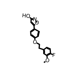 COc1cc(CCOc2ccc(-c3cc(O)no3)cc2)ccc1F